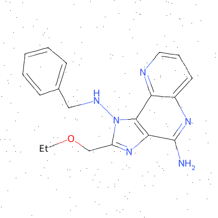 CCOCc1nc2c(N)nc3cccnc3c2n1NCc1ccccc1